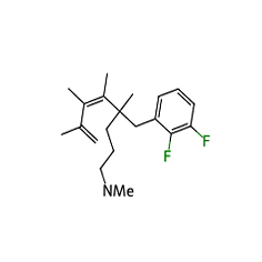 C=C(C)/C(C)=C(/C)C(C)(CCCNC)Cc1cccc(F)c1F